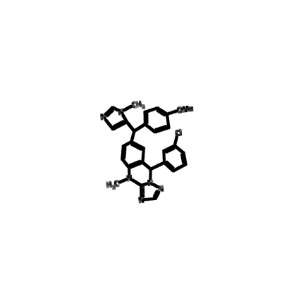 COc1ccc(C(c2ccc3c(c2)C(c2cccc(Cl)c2)n2ncnc2N3C)c2cncn2C)cc1